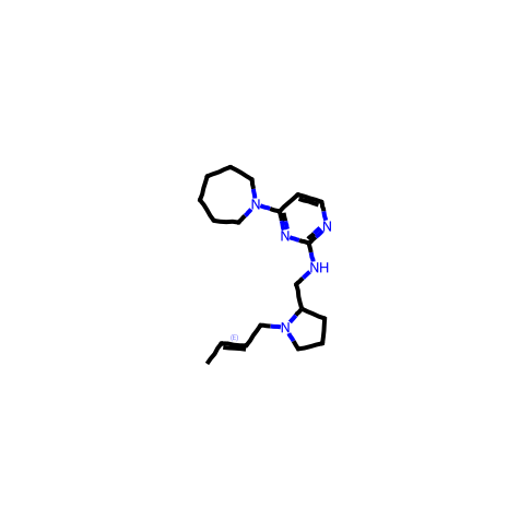 C/C=C/CN1CCCC1CNc1nccc(N2CCCCCC2)n1